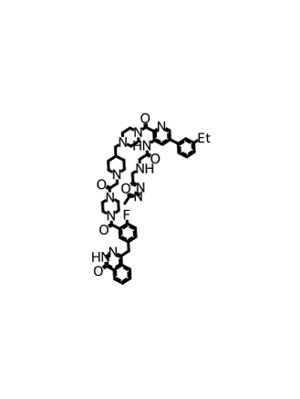 CCc1cccc(-c2cnc(C(=O)N3CCN(CC4CCN(CC(=O)N5CCN(C(=O)c6cc(Cc7n[nH]c(=O)c8ccccc78)ccc6F)CC5)CC4)CC3)c(NC(=O)CNCc3nnc(C)o3)c2)c1